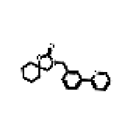 O=C1OC2(CCCCC2)CN1Cc1cccc(-c2ccccn2)c1